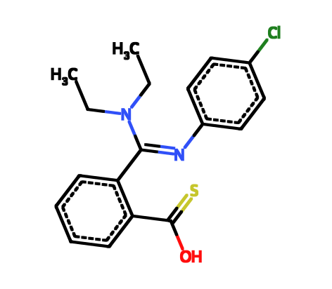 CCN(CC)C(=Nc1ccc(Cl)cc1)c1ccccc1C(O)=S